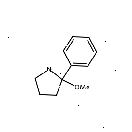 COC1(c2ccccc2)CCC[N]1